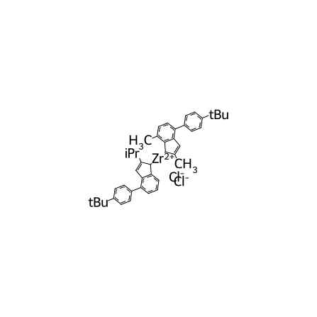 CC1=Cc2c(-c3ccc(C(C)(C)C)cc3)ccc(C)c2[CH]1[Zr+2][CH]1C(C(C)C)=Cc2c(-c3ccc(C(C)(C)C)cc3)cccc21.[Cl-].[Cl-]